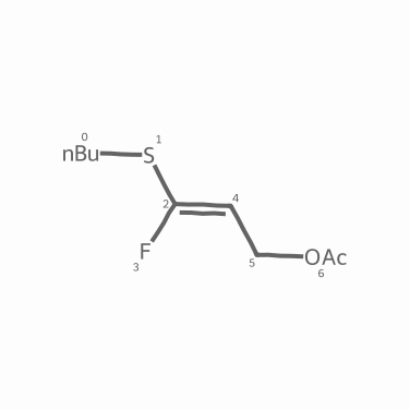 CCCCSC(F)=CCOC(C)=O